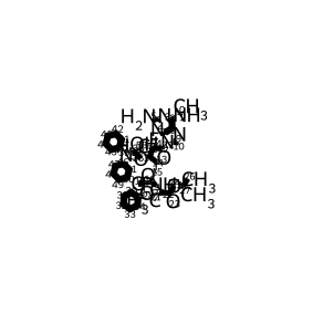 CNc1nc(N)nc2c1ncn2[C@@H]1O[C@H](COP(=O)(N[C@@H](C)C(=O)OC(C)C)Oc2ccccc2)[C@@H](OC(O)N(c2ccccc2)c2ccccc2)[C@@]1(C)F